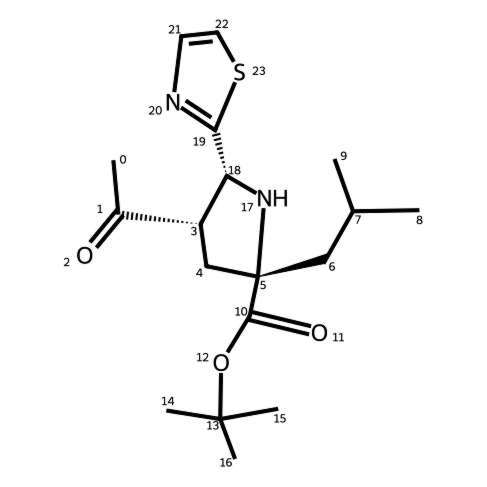 CC(=O)[C@H]1C[C@@](CC(C)C)(C(=O)OC(C)(C)C)N[C@H]1c1nccs1